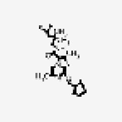 Cc1cn2c(C(=O)NCC(C)(N)CC(F)F)c(C)nc2c(OCc2c(F)cccc2F)n1